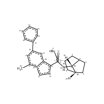 CCCCO[C@@H]1CC2CC[C@H](C1)[C@@H]2NC(=O)c1ncn2c(C)cc(-c3cccnc3)nc12